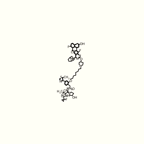 C#Cc1c(F)ccc2cc(O)cc(-c3ncc4c(N5CC6CCC(C5)N6)nc(OC5CCN(CCCCCCCCOc6cc(-c7ncsc7C)ccc6CNC(=O)[C@@H]6C[C@@H](O)CN6C(=O)[C@@H](NC(=O)C6(F)CC6)C(C)(C)C)CC5)nc4c3F)c12